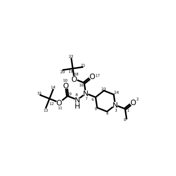 CC(=O)N1CCC(N(NC(=O)OC(C)(C)C)C(=O)OC(C)(C)C)CC1